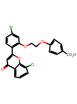 O=C(O)c1ccc(OCCOc2cc(Br)ccc2-c2cc(=O)c3cccc(Cl)c3o2)cc1